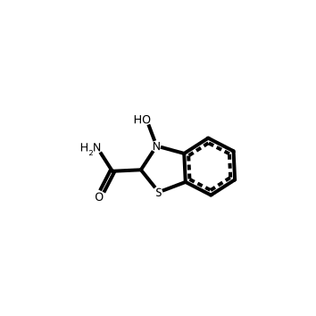 NC(=O)C1Sc2ccccc2N1O